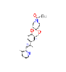 C=C1OC2(CCN(C(=O)C(C)CC)CC2)OC/C1=C/C(=C)/C(C)=C/c1ncccc1C